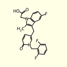 Cc1c(Cc2ccc(=O)n(Cc3c(F)cccc3F)c2)c2cc(F)ccc2n1CC(=O)O